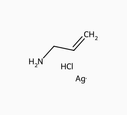 C=CCN.Cl.[Ag]